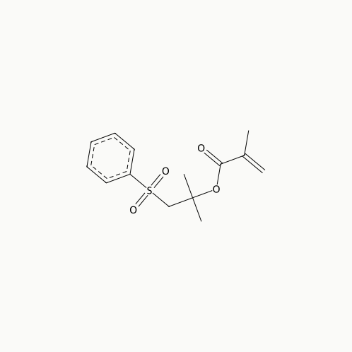 C=C(C)C(=O)OC(C)(C)CS(=O)(=O)c1ccccc1